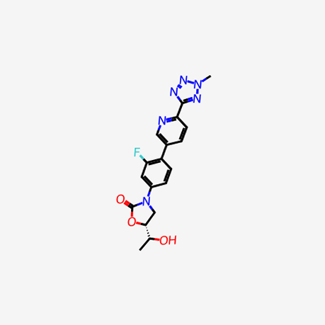 CC(O)[C@H]1CN(c2ccc(-c3ccc(-c4nnn(C)n4)nc3)c(F)c2)C(=O)O1